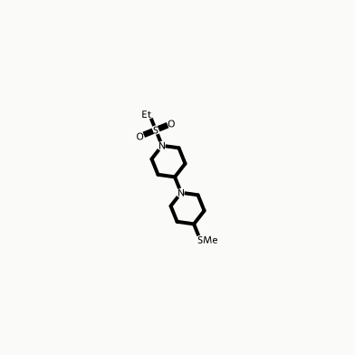 CCS(=O)(=O)N1CCC(N2CCC(SC)CC2)CC1